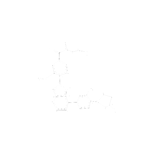 COc1cc(C(=O)N(C)CCO)cnc1-c1cc2nccc(-c3ccc(N4CCC(F)C4)c(C#N)c3)c2o1